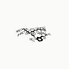 CC(O)=[SH]Cc1cccc(OCCN(C[C@H](O)[C@@H](O)[C@H](O)[C@H](O)CO)C[C@H](O)[C@@H](O)[C@H](O)[C@H](O)CO)c1.Cl